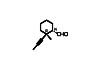 CC#C[C@]1(C)CCCC[C@@H]1C=O